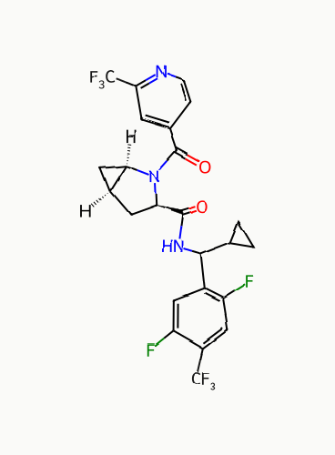 O=C(NC(c1cc(F)c(C(F)(F)F)cc1F)C1CC1)[C@H]1C[C@H]2C[C@H]2N1C(=O)c1ccnc(C(F)(F)F)c1